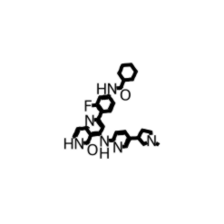 CN1CCC(c2ccc(Nc3cc(-c4ccc(NC(=O)C5CCCCC5)cc4F)nc4cc[nH]c(=O)c34)nc2)C1